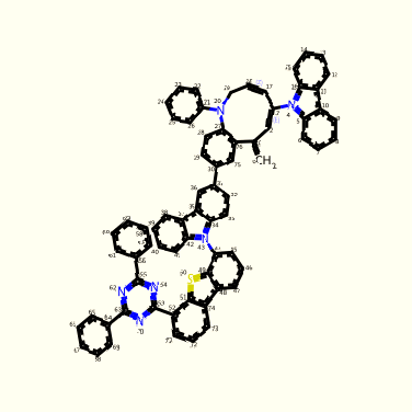 C=C1/C=C(n2c3ccccc3c3ccccc32)\C=C/CN(c2ccccc2)c2ccc(-c3ccc4c(c3)c3ccccc3n4-c3cccc4c3sc3c(-c5nc(-c6ccccc6)nc(-c6ccccc6)n5)cccc34)cc21